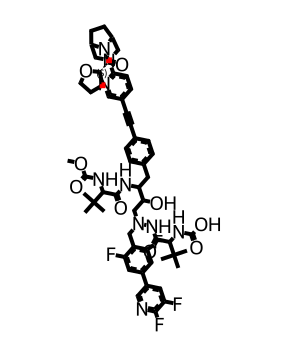 COC(=O)NC(C(=O)NC(Cc1ccc(C#Cc2ccc(N3CC4CCC(C3)N4C(=O)[C@@H]3CCCO3)nc2)cc1)C(O)CN(Cc1c(F)cc(-c2cnc(F)c(F)c2)cc1F)NC(=O)C(NC(=O)O)C(C)(C)C)C(C)(C)C